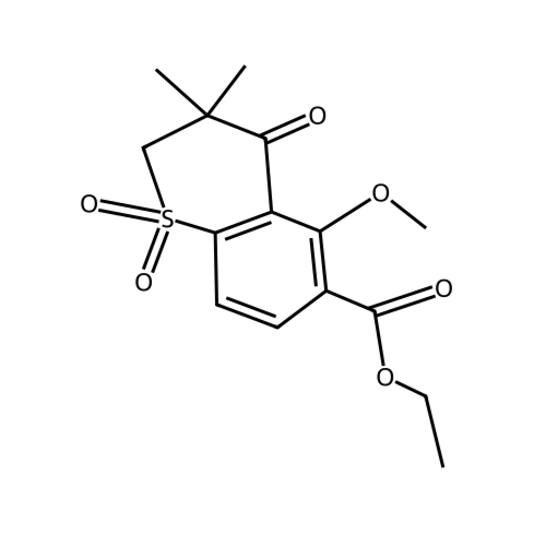 CCOC(=O)c1ccc2c(c1OC)C(=O)C(C)(C)CS2(=O)=O